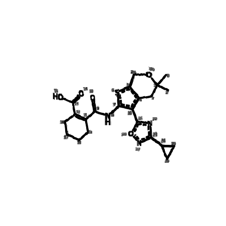 CC1(C)Cc2c(sc(NC(=O)C3=C(C(=O)O)CCCC3)c2-c2nc(C3CC3)no2)CO1